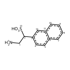 NCC(c1ccc2ccccc2c1)S(=O)(=O)O